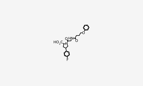 O=C(CCCOc1ccccc1)NCC(=O)N1CC(c2ccc(F)cc2)CC1C(=O)O